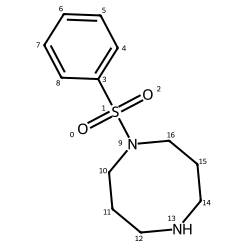 O=S(=O)(c1ccccc1)N1CCCNCCC1